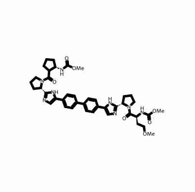 COCC[C@H](NC(=O)OC)C(=O)N1CCC[C@H]1c1ncc(-c2ccc(-c3ccc(-c4cnc([C@@H]5CCCN5C(=O)C5CCC[C@@H]5NC(=O)OC)[nH]4)cc3)cc2)[nH]1